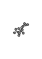 c1ccc(-c2c3c(c(-c4ccccc4)c4c2ccc2c5cc6c(cc5ccc24)-c2cccc4c2c-6cc2ccccc24)-c2cc(N(c4ccccc4)c4ccccc4)cc4c2c-3cc2ccccc24)cc1